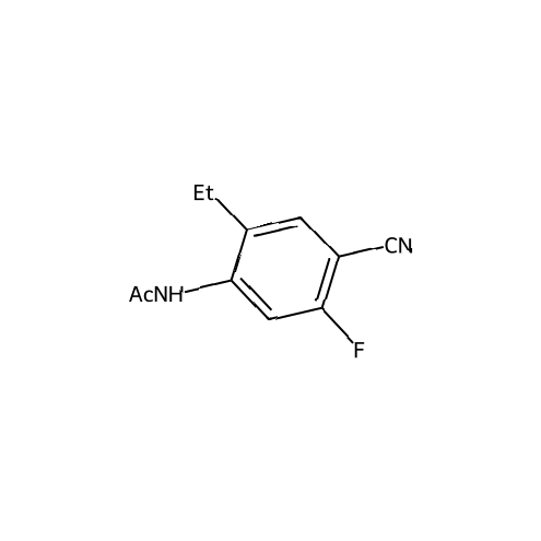 CCc1cc(C#N)c(F)cc1NC(C)=O